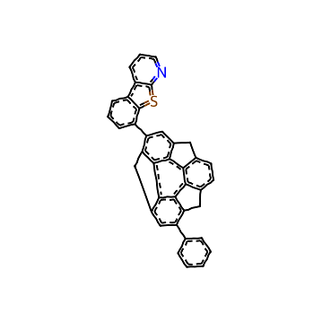 c1ccc(-c2cc3c4c5c2Cc2ccc6c(c25)c2c(cc(-c5cccc7c5sc5ncccc57)c(c24)C3)C6)cc1